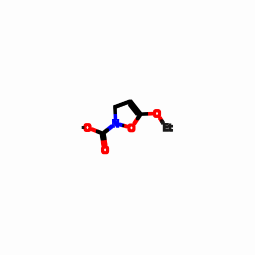 CCOC1=CCN(C([O])=O)O1